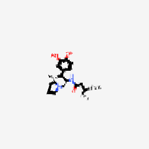 C=C(c1ccc(O)c(O)c1)[C@@H](CN1CCCC1)NC(=O)CC(C)CCCCC